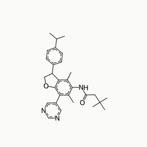 Cc1c(NC(=O)CC(C)(C)C)c(C)c2c(c1-c1cncnc1)OCC2c1ccc(C(C)C)cc1